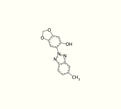 Cc1ccc2nn(-c3cc4c(cc3O)OCO4)nc2c1